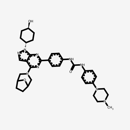 CN1CCN(c2ccc(NC(=O)Nc3ccc(-c4nc(N5CC6CCC(C5)O6)c5cnn([C@H]6CC[C@H](O)CC6)c5n4)cc3)cc2)CC1